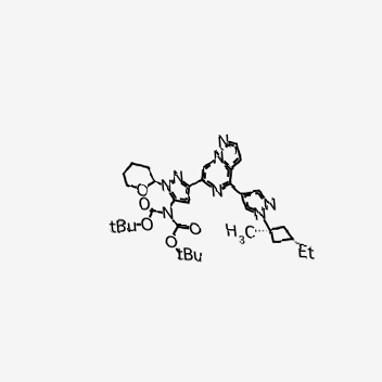 CC[C@H]1C[C@](C)(n2cc(-c3nc(-c4cc(N(C(=O)OC(C)(C)C)C(=O)OC(C)(C)C)n(C5CCCCO5)n4)cn4nccc34)cn2)C1